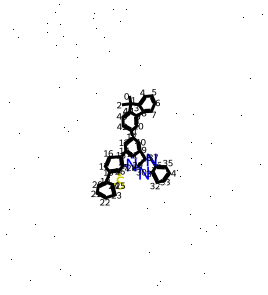 CC1(C)c2ccccc2-c2cc(-c3cc4c5ccc6c7ccccc7sc6c5n5c6nc7ccccc7nc6c(c3)c45)ccc21